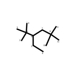 [CH2]C(C)(C)C(CC)CC(C)(C)C